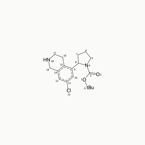 CC(C)(C)OC(=O)N1CCCC1c1cc(Cl)cc2c1CCNC2